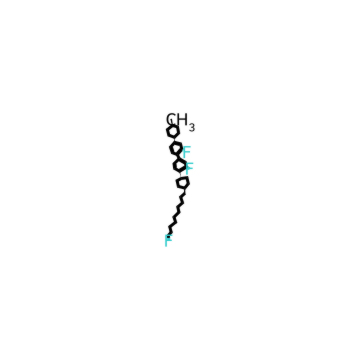 C[C@H]1CC[C@H](c2ccc(-c3ccc([C@H]4CC[C@H](CCCCCCCCCCF)CC4)c(F)c3)c(F)c2)CC1